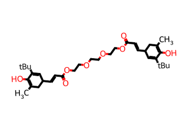 CC1=C(O)C(C(C)(C)C)=CC(C=CC(=O)OCCOCCOCCOC(=O)C=CC2C=C(C(C)(C)C)C(O)=C(C)C2)C1